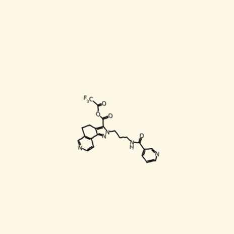 O=C(NCCCn1nc2c(c1C(=O)OC(=O)C(F)(F)F)CCc1cnccc1-2)c1cccnc1